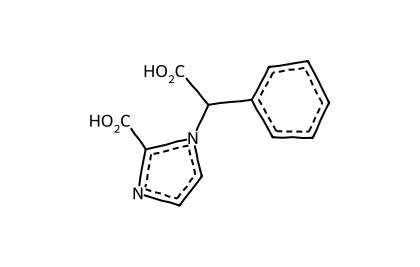 O=C(O)c1nccn1C(C(=O)O)c1ccccc1